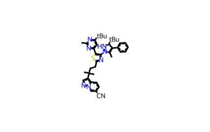 CC1=C(c2ccccc2)C(C(C)(C)C)NN1c1nc(CCC(C)(C)c2cnn3cc(C#N)ccc23)sc1-c1cc(C(C)(C)C)nc(C)n1